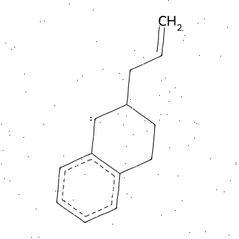 C=CCC1[C]c2ccccc2CC1